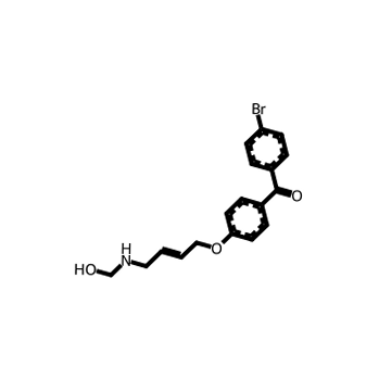 O=C(c1ccc(Br)cc1)c1ccc(OCC=CCNCO)cc1